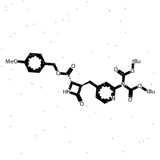 COc1ccc(COC(=O)[C@H]2NC(=O)[C@@H]2Cc2ccnc(N(C(=O)OC(C)(C)C)C(=O)OC(C)(C)C)c2)cc1